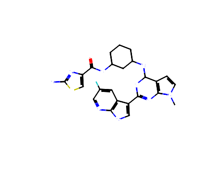 Cn1ccc2c1N=C(c1c[nH]c3ncc(F)cc13)NC2NC1CCCC(NC(=O)c2csc(N)n2)C1